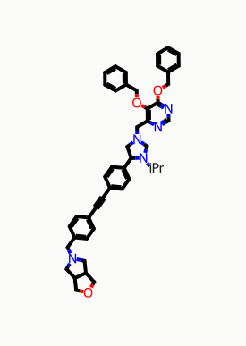 CC(C)N1CN(Cc2ncnc(OCc3ccccc3)c2OCc2ccccc2)CC1c1ccc(C#Cc2ccc(CN3CC4COCC4C3)cc2)cc1